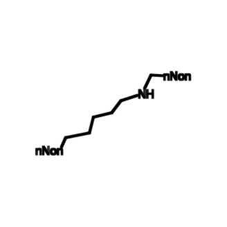 CCCCCCCCCCCCCCNCCCCCCCCCC